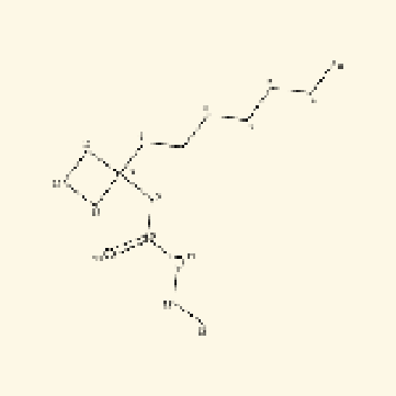 CCCCCCCC1(CC(=O)OCC)CCC1